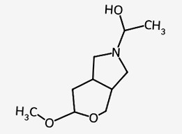 COC1CC2CN(C(C)O)CC2CO1